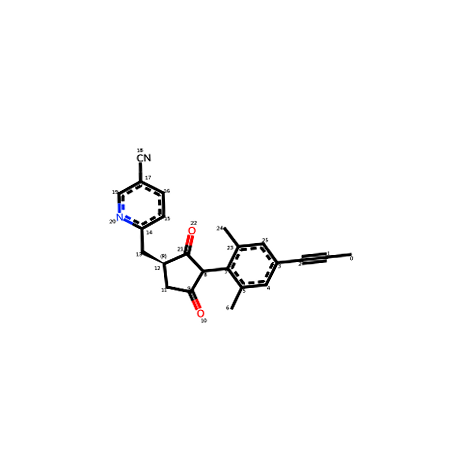 CC#Cc1cc(C)c(C2C(=O)C[C@@H](Cc3ccc(C#N)cn3)C2=O)c(C)c1